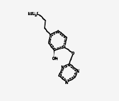 CCOC(=O)CCc1ccc(Oc2ncncn2)c(O)c1